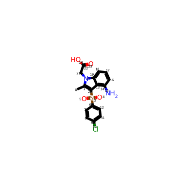 Cc1c(S(=O)(=O)c2ccc(Cl)cc2)c2c(N)cccc2n1CC(=O)O